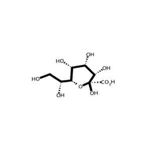 O=C(O)[C@]1(O)O[C@H]([C@H](O)CO)[C@H](O)[C@H](O)[C@@H]1O